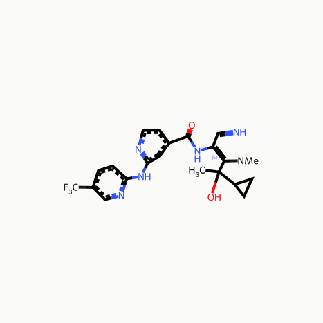 CN/C(=C(\C=N)NC(=O)c1ccnc(Nc2ccc(C(F)(F)F)cn2)c1)C(C)(O)C1CC1